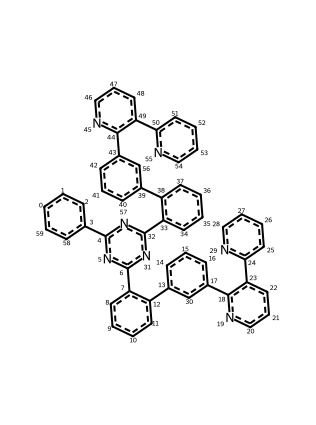 c1ccc(-c2nc(-c3ccccc3-c3cccc(-c4ncccc4-c4ccccn4)c3)nc(-c3ccccc3-c3cccc(-c4ncccc4-c4ccccn4)c3)n2)cc1